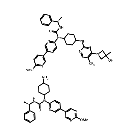 COc1ncc(-c2ccc(N(C(=O)N[C@H](C)c3ccccc3)C3CCC(N)CC3)nc2)cn1.COc1ncc(-c2ccc(N(C(=O)N[C@H](C)c3ccccc3)C3CCC(Nc4ncc(C(F)(F)F)c(N5CC(C)(O)C5)n4)CC3)nc2)cn1